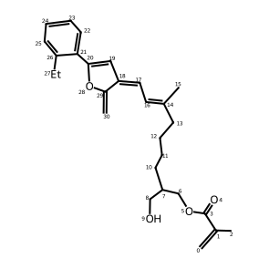 C=C(C)C(=O)OCC(CO)CCCC/C(C)=C/C=c1/cc(-c2ccccc2CC)oc1=C